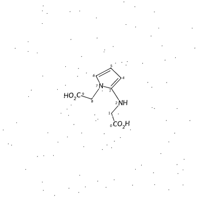 O=C(O)CNc1cccn1CC(=O)O